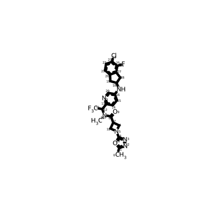 Cc1nnc(N2CC(C(=O)N(C)C(c3ccc(NC4Cc5ccc(Cl)c(F)c5C4)cn3)C(F)(F)F)C2)o1